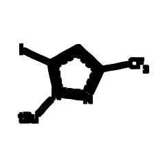 CC(C)(C)n1nc(C(F)(F)F)cc1I